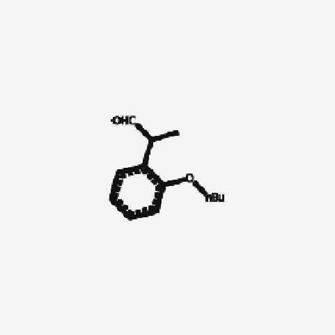 CCCCOc1ccccc1C(C)[C]=O